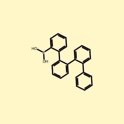 OB(O)c1ccccc1-c1ccccc1-c1ccccc1-c1ccccc1